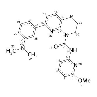 COc1cccc(NC(=O)N2CCCc3ccc(-c4cccc(N(C)C)c4)nc32)n1